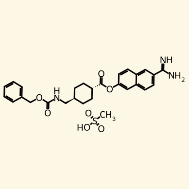 CS(=O)(=O)O.N=C(N)c1ccc2cc(OC(=O)[C@H]3CC[C@H](CNC(=O)OCc4ccccc4)CC3)ccc2c1